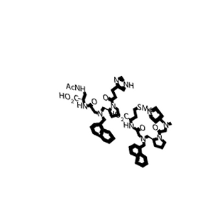 CC(=O)NC[C@H](NC(=O)CN(Cc1cccc2ccccc12)C[C@@H]1CCCN1C(=O)CCc1c[nH]cn1)C(=O)O.CSCC[C@H](NC(=O)CN(Cc1cccc2ccccc12)C[C@@H]1CCCN1C(=O)CN(C)c1ccncc1)C(=O)O